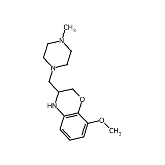 COc1cccc2c1OCC(CN1CCN(C)CC1)N2